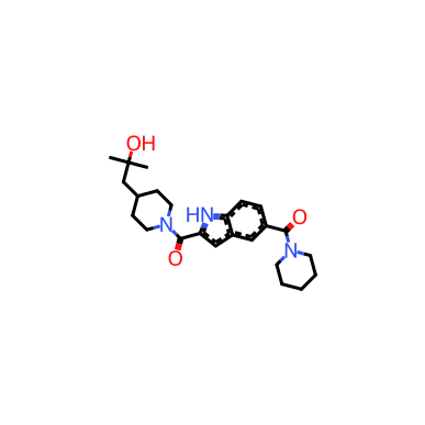 CC(C)(O)CC1CCN(C(=O)c2cc3cc(C(=O)N4CCCCC4)ccc3[nH]2)CC1